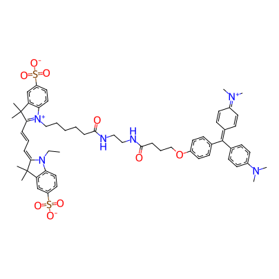 CCN1/C(=C\C=C\C2=[N+](CCCCCC(=O)NCCNC(=O)CCCOc3ccc(C(=C4C=CC(=[N+](C)C)C=C4)c4ccc(N(C)C)cc4)cc3)c3ccc(S(=O)(=O)[O-])cc3C2(C)C)C(C)(C)c2cc(S(=O)(=O)[O-])ccc21